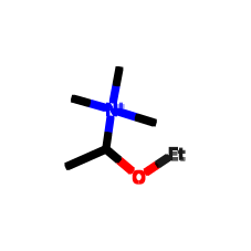 CCOC(C)[N+](C)(C)C